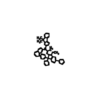 C=CC1=C(/C=C(\C)N(c2ccc3c(c2)C(C)(C)c2ccccc2-3)c2ccc3ccccc3c2)C(c2ccccc2)(c2ccccc2)c2ccc(-c3ccccc3)cc21